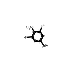 CCCc1cc(F)c([N+](=O)[O-])c(F)c1